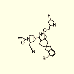 C=CC(=O)N1CCN(c2nc(OCC3CC(F)CN3C)nc3c2CCC2(Cc4cccc(Br)c4C2)C3)CC1CC#N